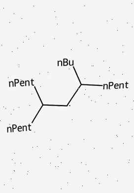 CCCCCC([CH]C(CCCCC)CCCCC)CCCC